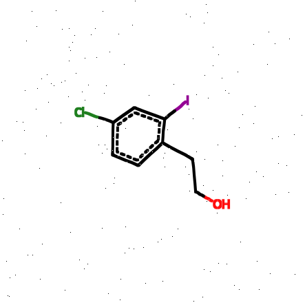 OCCc1ccc(Cl)cc1I